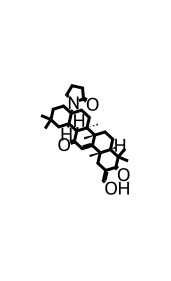 CC1(C)CC[C@]2(N3CCCC3=O)CC[C@]3(C)[C@H](C(=O)C=C4[C@@]5(C)C/C(=C/O)C(=O)C(C)(C)[C@@H]5CC[C@]43C)[C@@H]2C1